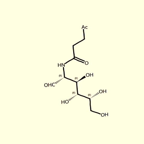 CC(=O)CCC(=O)N[C@@H](C=O)[C@@H](O)[C@@H](O)[C@H](O)CO